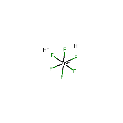 [F][Zr-2]([F])([F])([F])([F])[F].[H+].[H+]